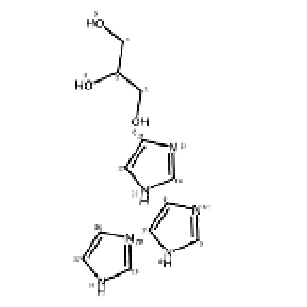 OCC(O)CO.c1c[nH]cn1.c1c[nH]cn1.c1c[nH]cn1